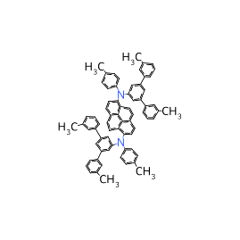 Cc1ccc(N(c2cc(-c3cccc(C)c3)cc(-c3cccc(C)c3)c2)c2ccc3ccc4c(N(c5ccc(C)cc5)c5cc(-c6cccc(C)c6)cc(-c6cccc(C)c6)c5)ccc5ccc2c3c54)cc1